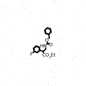 CCOC(=O)C(CNC(=O)OCc1ccccc1)c1cccc(F)c1